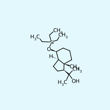 CC[Si](CC)(CC)O[C@H]1CCC[C@]2(C)[C@@H](C(C)(C)O)CC[C@@H]12